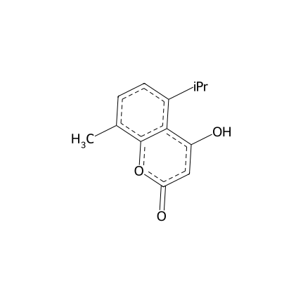 Cc1ccc(C(C)C)c2c(O)cc(=O)oc12